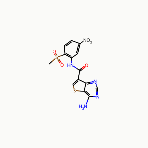 CS(=O)(=O)c1ccc([N+](=O)[O-])cc1NC(=O)c1csc2c(N)ncnc12